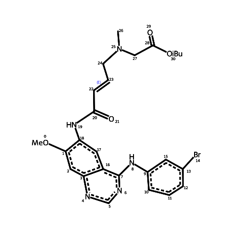 COc1cc2ncnc(Nc3cccc(Br)c3)c2cc1NC(=O)/C=C/CN(C)CC(=O)OCC(C)C